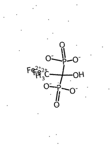 CC(O)(P(=O)([O-])[O-])P(=O)([O-])[O-].[Fe+2].[Fe+2]